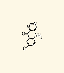 Nc1ccc(Cl)cc1C(=O)c1ccncn1